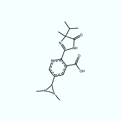 CC(C)C1(C)N=C(c2ncc(C3N(C)N3C)cc2C(=O)O)NC1=O